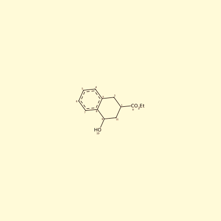 CCOC(=O)C1Cc2ccccc2C(O)C1